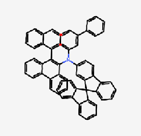 c1ccc(-c2cccc(N(c3ccc4c(c3)C3(c5ccccc5-c5ccccc53)c3ccccc3-4)c3c(-c4cccc5ccccc45)c4ccccc4c4ccccc34)c2)cc1